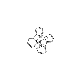 c1cc[n+]2c(c1)-c1cccc[n+]1[Cu]21[n+]2ccccc2-c2cccc[n+]21